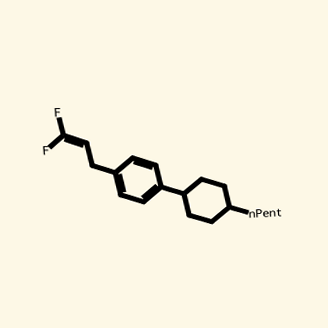 CCCCCC1CCC(c2ccc(CC=C(F)F)cc2)CC1